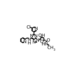 CCNC(=O)[C@@H]1C[C@@H](O)[C@H](n2cnc3c(NCc4ccccn4)nc(-c4cncc(Cl)c4)nc32)O1